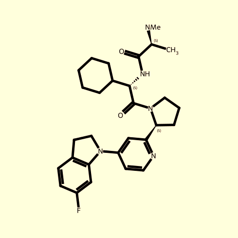 CN[C@@H](C)C(=O)N[C@H](C(=O)N1CCC[C@H]1c1cc(N2CCc3ccc(F)cc32)ccn1)C1CCCCC1